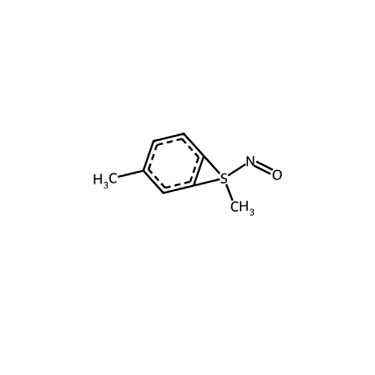 Cc1ccc2c(c1)S2(C)N=O